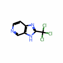 ClC(Cl)(Cl)c1nc2ccncc2[nH]1